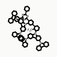 FC(F)(F)c1c(-c2ccc(-c3nc(-c4ccccc4)nc(-c4ccccc4)n3)c(-n3c4ccc(-n5c6ccccc6c6ccccc65)cc4c4cc(-n5c6ccccc6c6ccccc65)ccc43)c2)cccc1-n1c2ccc(-n3c4ccccc4c4ccccc43)cc2c2cc(-n3c4ccccc4c4ccccc43)ccc21